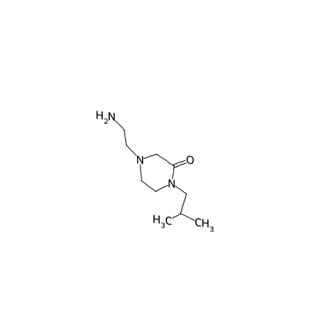 CC(C)CN1CCN(CCN)CC1=O